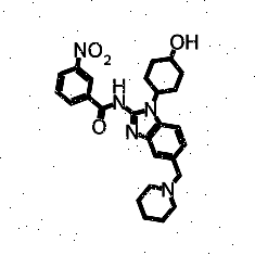 O=C(Nc1nc2cc(CN3CCCCC3)ccc2n1C1CCC(O)CC1)c1cccc([N+](=O)[O-])c1